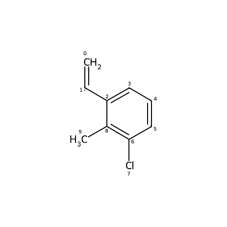 C=[C]c1cccc(Cl)c1C